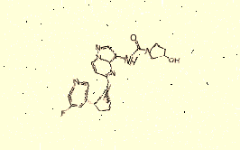 O=C(NC1C=NN2C=CC(N3CCC[C@@H]3c3cncc(F)c3)=NC12)N1CC[C@@H](O)C1